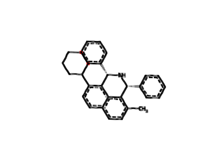 Cc1ccc2ccc(C3CCCCC3)c3c2c1[C@@H](c1ccccc1)N[C@H]3c1ccccc1